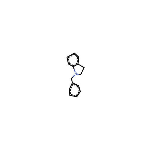 [c]1ccc2c(c1)N(Cc1ccccc1)CC2